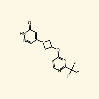 O=c1cc(N2CC(Oc3ccnc(C(F)(F)F)n3)C2)cn[nH]1